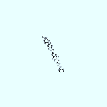 N#CC=CC=CCCC1CCC(CCCCC2CCC(c3ccc(F)cc3)CC2)CC1